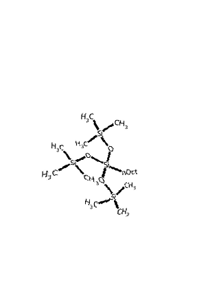 CCCCCCCC[Si](O[Si](C)(C)C)(O[Si](C)(C)C)O[Si](C)(C)C